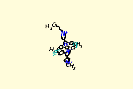 CCCCCC[n+]1ccc(-c2cc(-c3ccc(C)cc3)[n+](-c3ccc(-[n+]4c(-c5ccc(C(F)(F)F)cc5)cc(-c5cc[n+](C)cc5)cc4-c4ccc(C(F)(F)F)cc4)cc3)c(-c3ccc(C)cc3)c2)cc1